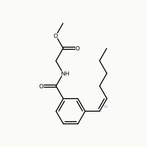 CCCC/C=C\c1cccc(C(=O)NCC(=O)OC)c1